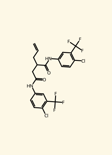 C=CCC(CC(=O)Nc1ccc(Cl)c(C(F)(F)F)c1)C(=O)Nc1ccc(Cl)c(C(F)(F)F)c1